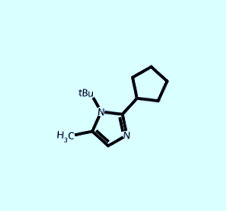 Cc1cnc(C2CCCC2)n1C(C)(C)C